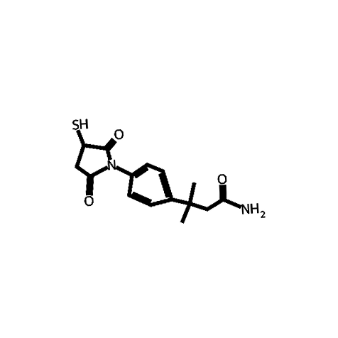 CC(C)(CC(N)=O)c1ccc(N2C(=O)CC(S)C2=O)cc1